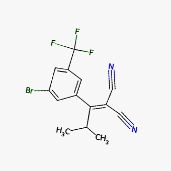 CC(C)C(=C(C#N)C#N)c1cc(Br)cc(C(F)(F)F)c1